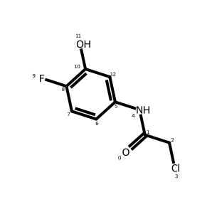 O=C(CCl)Nc1ccc(F)c(O)c1